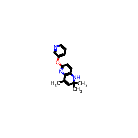 CC1=CC(C)(C)Nc2ccc(Oc3cccnc3)nc21